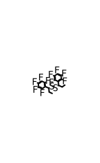 CCC(SSC(CC)c1c(F)c(F)c(F)c(F)c1F)c1c(F)c(F)c(F)c(F)c1F